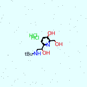 CC(C)(C)NCC(O)c1ccc(O)c(CO)n1.Cl.Cl